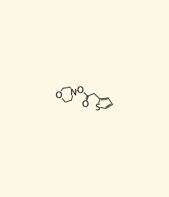 O=C(Cc1cccs1)ON1CCOCC1